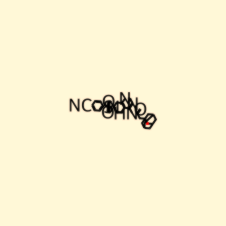 N#Cc1ccc(S(=O)(=O)N2CCc3c(ncnc3NC(=O)CC34CC5CC(CC(C5)C3)C4)C2)cc1